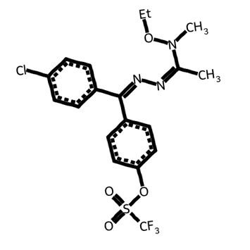 CCON(C)C(C)=NN=C(c1ccc(Cl)cc1)c1ccc(OS(=O)(=O)C(F)(F)F)cc1